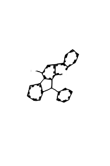 Clc1cc2c(oc3ccccc32)c2c1-c1ccccc1C2c1ccccc1